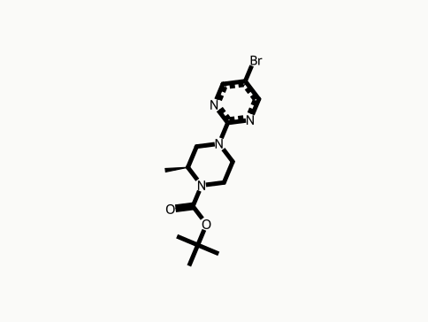 C[C@H]1CN(c2ncc(Br)cn2)CCN1C(=O)OC(C)(C)C